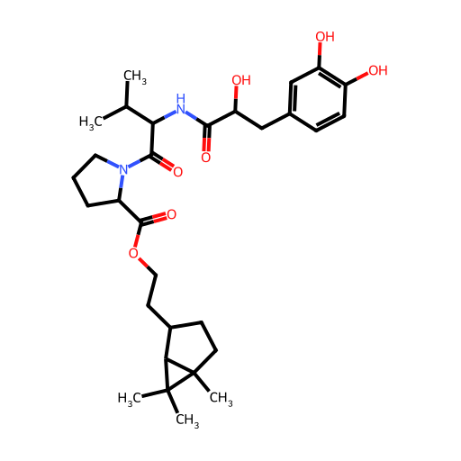 CC(C)C(NC(=O)C(O)Cc1ccc(O)c(O)c1)C(=O)N1CCCC1C(=O)OCCC1CCC2(C)C1C2(C)C